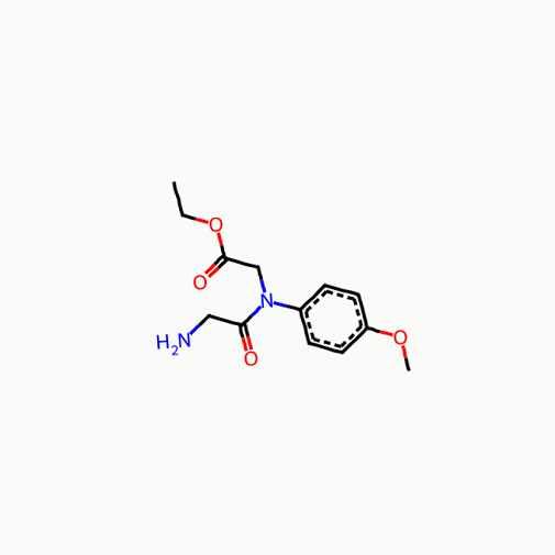 CCOC(=O)CN(C(=O)CN)c1ccc(OC)cc1